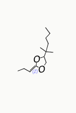 CC/C=C1/OCC(C(C)(C)CCCC)O1